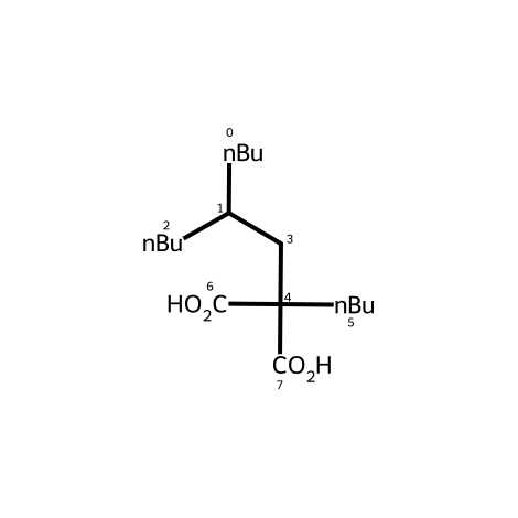 CCCCC(CCCC)CC(CCCC)(C(=O)O)C(=O)O